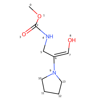 COC(=O)NC/C(=C\O)N1CCCC1